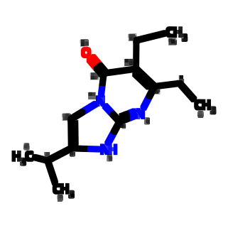 CCc1nc2[nH]c(C(C)C)cn2c(=O)c1CC